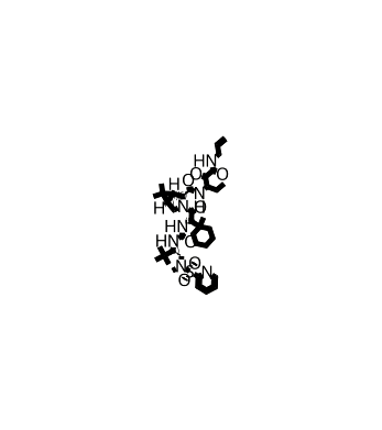 C=CCNC(=O)C(=O)C(CC)NC(=O)[C@@H]1[C@@H]2[C@H](CN1C(=O)[C@@H](NC(=O)N[C@H](CN(C)S(=O)(=O)c1ccccn1)C(C)(C)C)C1(C)CCCCC1)C2(C)C